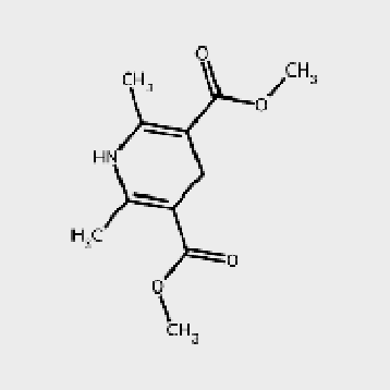 COC(=O)C1=C(C)NC(C)=C(C(=O)OC)C1